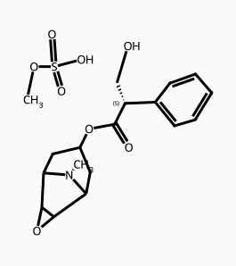 CN1C2CC(OC(=O)[C@H](CO)c3ccccc3)CC1C1OC12.COS(=O)(=O)O